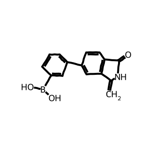 C=C1NC(=O)c2ccc(-c3cccc(B(O)O)c3)cc21